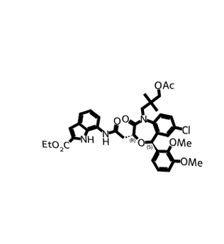 CCOC(=O)c1cc2cccc(NC(=O)C[C@H]3O[C@H](c4cccc(OC)c4OC)c4cc(Cl)ccc4N(CC(C)(C)COC(C)=O)C3=O)c2[nH]1